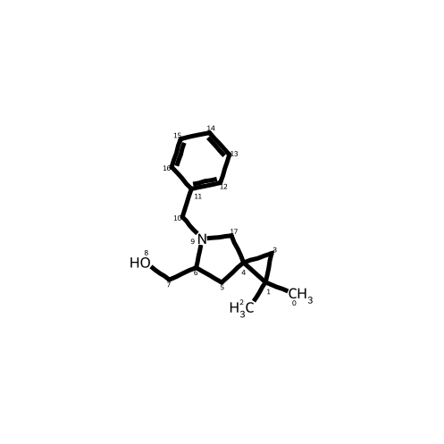 CC1(C)CC12CC(CO)N(Cc1ccccc1)C2